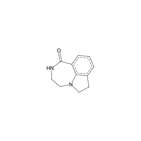 O=C1NCCN2CCc3cccc1c32